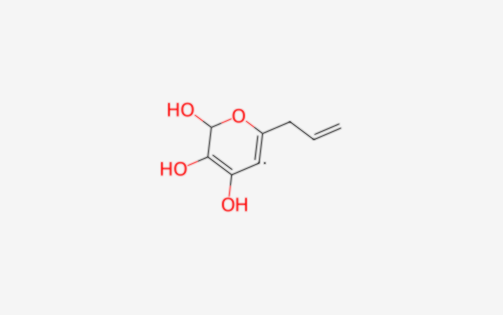 C=CCC1=[C]C(O)=C(O)C(O)O1